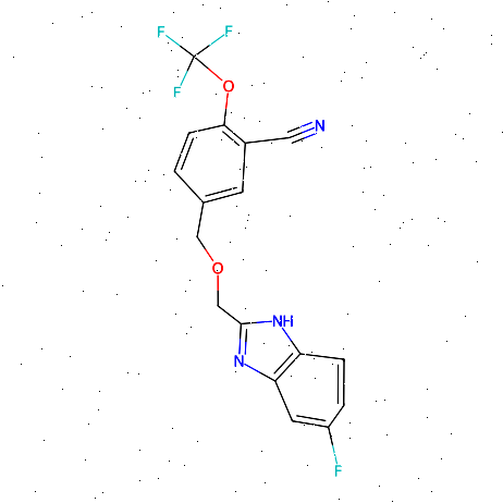 N#Cc1cc(COCc2nc3cc(F)ccc3[nH]2)ccc1OC(F)(F)F